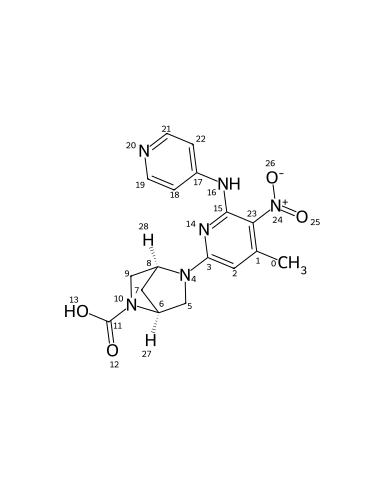 Cc1cc(N2C[C@@H]3C[C@H]2CN3C(=O)O)nc(Nc2ccncc2)c1[N+](=O)[O-]